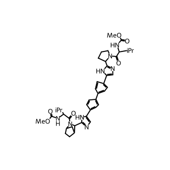 COC(=O)NC(C(=O)N1CCCC1c1ncc(-c2ccc(-c3ccc(-c4cnc(C5C6CCC(C6)N5C(=O)C(NC(=O)OC)C(C)C)[nH]4)cc3)cc2)[nH]1)C(C)C